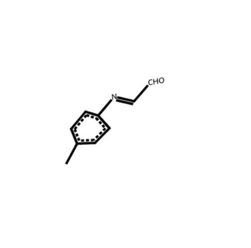 Cc1ccc(N=CC=O)cc1